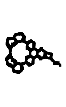 NC1Cc2nc3c4ccc5nc4c4nc(ccc4c3nc21)c1cccc2ccc(nc21)c1ccc2cccc5c2n1